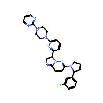 Fc1cccc(C2CCCN2C2=NN3C(=NCC3c3cccc(N4CCN(c5ncccn5)CC4)n3)C=C2)c1